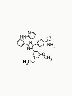 COc1cc(OC)cc(-c2nc3n(c2-c2ccc(C4(N)CCC4)cc2)-c2cccnc2Nc2ccccc2-3)c1